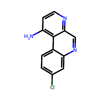 Nc1ccnc2cnc3cc(Cl)ccc3c12